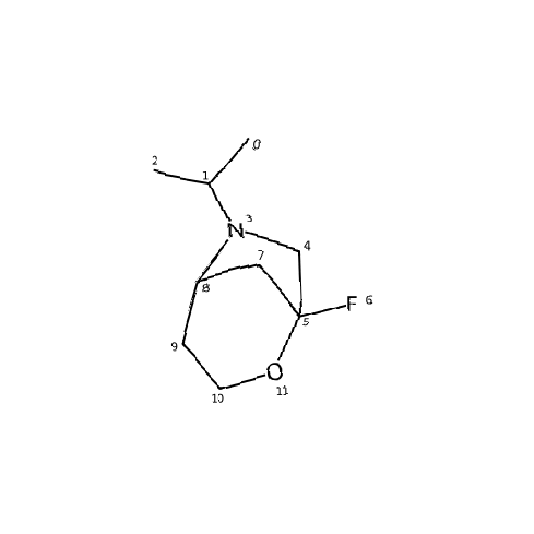 CC(C)N1CC2(F)CC1CCO2